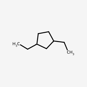 CC[C]1CC[C](CC)C1